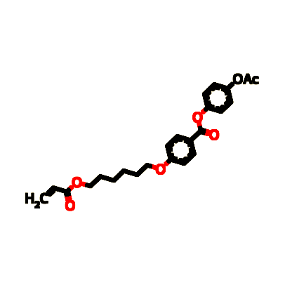 C=CC(=O)OCCCCCCOc1ccc(C(=O)Oc2ccc(OC(C)=O)cc2)cc1